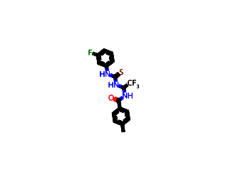 Cc1ccc(C(=O)NC(NC(=S)Nc2cccc(F)c2)C(F)(F)F)cc1